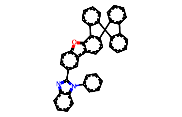 c1ccc(-n2c(-c3ccc4oc5c6c(ccc5c4c3)C3(c4ccccc4-c4ccccc43)c3ccccc3-6)nc3ccccc32)cc1